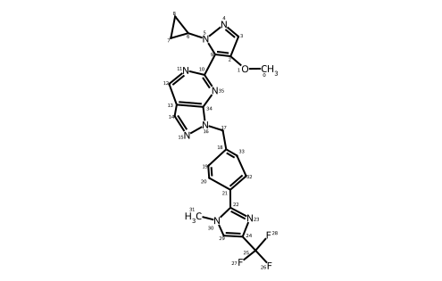 COc1cnn(C2CC2)c1-c1ncc2cnn(Cc3ccc(-c4nc(C(F)(F)F)cn4C)cc3)c2n1